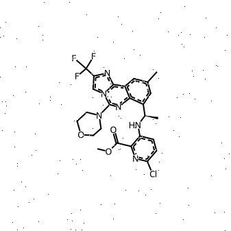 COC(=O)c1nc(Cl)ccc1N[C@H](C)c1cc(C)cc2c1nc(N1CCOCC1)n1cc(C(F)(F)F)nc21